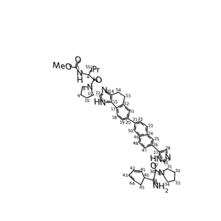 COC(=O)N[C@H](C(=O)N1CCC[C@H]1c1nc2c([nH]1)-c1ccc(-c3ccc4cc(-c5cnc([C@@H]6CCCN6C(=O)[C@H](N)C6C=CC=CC6)[nH]5)ccc4c3)cc1CC2)C(C)C